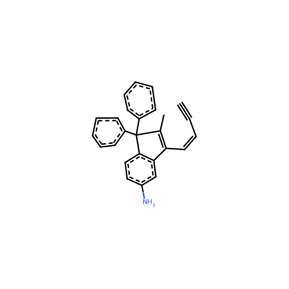 C#C/C=C\C1=C(C)C(c2ccccc2)(c2ccccc2)c2ccc(N)cc21